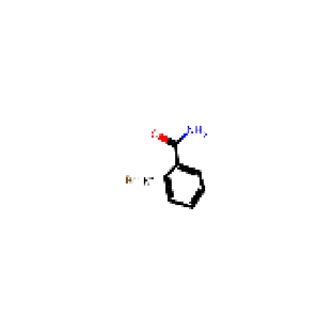 NC(=O)c1ccccc1.[Br-].[K+]